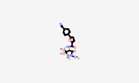 CNC(=O)[C@@H](NC(=O)c1ccc(-c2ccc(C#N)cc2)o1)C(C)(C)O